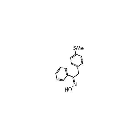 CSc1ccc(C/C(=N/O)c2ccccc2)cc1